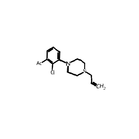 C=CCN1CCN(c2cccc(C(C)=O)c2Cl)CC1